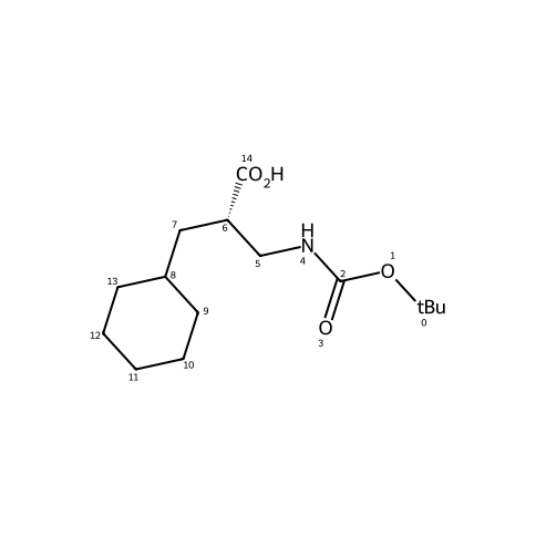 CC(C)(C)OC(=O)NC[C@H](CC1CCCCC1)C(=O)O